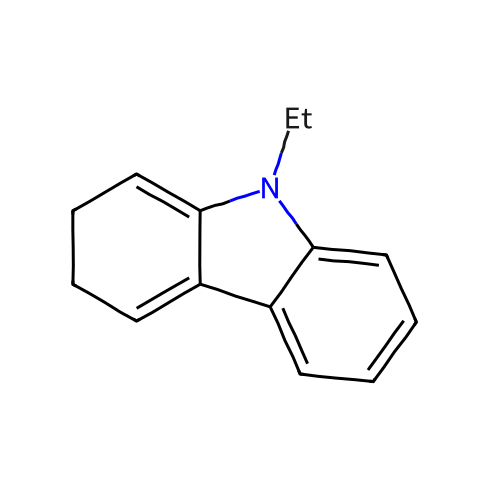 CCn1c2c(c3ccccc31)=CCCC=2